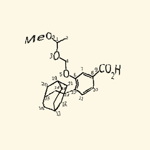 COC(C)OCOc1cc(C(=O)O)ccc1C12CC3CC(CC(C3)C1)C2